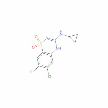 O=S1(=O)N=C(NC2CC2)Nc2cc(Cl)c(Cl)cc21